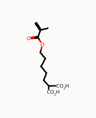 C=C(C)C(=O)OCCCCCC(C(=O)O)C(=O)O